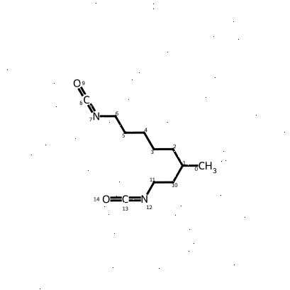 CC(CCCCCN=C=O)CCN=C=O